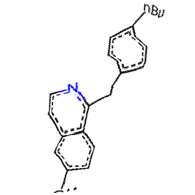 CCCCc1ccc(Cc2nccc3cc(OC)ccc23)cc1